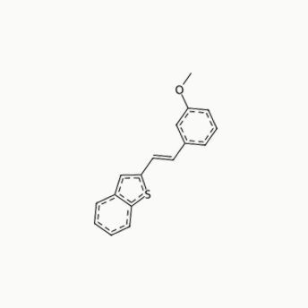 COc1cccc(/C=C/c2cc3ccccc3s2)c1